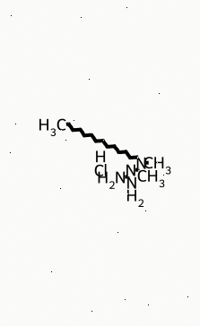 CCCCCCCCCCCCCCN(C)C(C)N=C(N)N.Cl